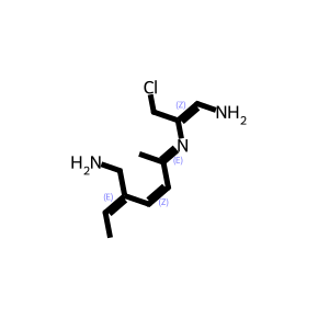 C\C=C(/C=C\C(C)=N\C(=C/N)CCl)CN